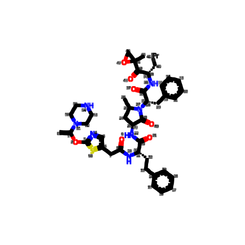 C=C(Oc1ncc(CC(=O)N[C@@H](CCc2ccccc2)C(=O)N[C@H]2CC(C)N([C@@H](Cc3ccccc3)C(=O)N[C@@H](CC(C)C)C(=O)C3(C)CO3)C2=O)s1)N1CCNCC1